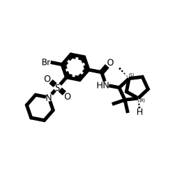 CC1(C)C(NC(=O)c2ccc(Br)c(S(=O)(=O)N3CCCCC3)c2)[C@@]2(C)CC[C@@H]1C2